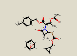 COC(=O)OC(C)=C(C(=O)OCc1ccc([N+](=O)[O-])cc1)N1C(=O)C(NC(C)=O)C1SC(=O)OCC1CC1.c1cc2cc(c1)O2